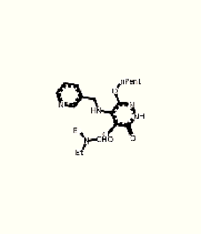 CCCCCOc1n[nH]c(=O)c(Cl)c1NCc1cccnc1.CCN(C=O)CC